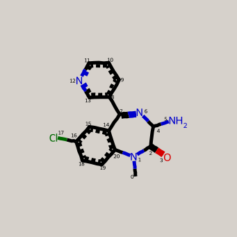 CN1C(=O)C(N)N=C(c2cccnc2)c2cc(Cl)ccc21